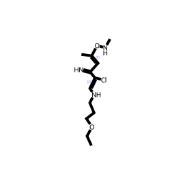 CCOCCCN/C=C(\Cl)C(=N)/C=C(\C)ONC